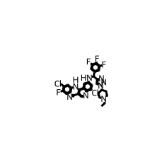 CCN1CCC(n2cc(C(Nc3cc(Cl)c4ncc(C#N)c(Nc5ccc(F)c(Cl)c5)c4c3)c3cc(F)c(F)c(F)c3)nn2)CC1